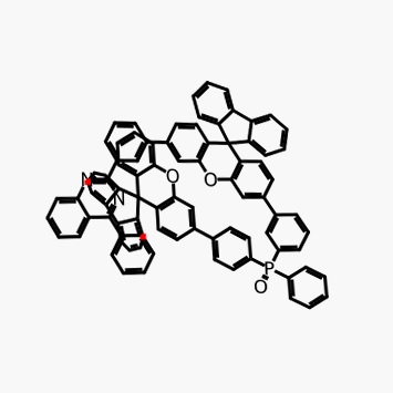 O=P(c1ccccc1)(c1ccc(-c2ccc3c(c2)Oc2ccccc2C32c3ccccc3-c3ccccc32)cc1)c1cccc(-c2ccc3c(c2)Oc2cc(-c4cccc(-c5nc(-c6ccccc6)c6ccccc6n5)c4)ccc2C32c3ccccc3-c3ccccc32)c1